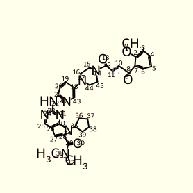 COc1ccccc1C(=O)/C=C/C(=O)N1CCN(c2ccc(Nc3ncc4cc(C(=O)N(C)C)n(C5CCCC5)c4n3)nc2)CC1